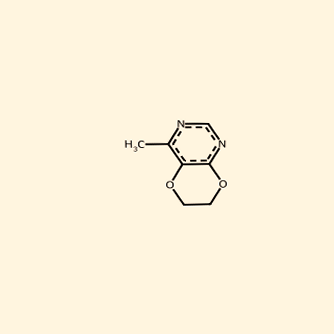 Cc1ncnc2c1OCCO2